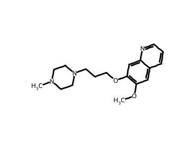 COc1cc2[c]ccnc2cc1OCCCN1CCN(C)CC1